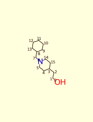 OCCC1CCN(CC2CCCCC2)CC1